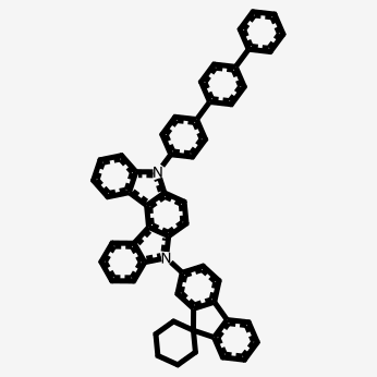 c1ccc(-c2ccc(-c3ccc(-n4c5ccccc5c5c6c7ccccc7n(-c7ccc8c(c7)C7(CCCCC7)c7ccccc7-8)c6ccc54)cc3)cc2)cc1